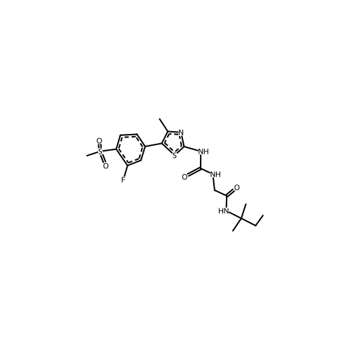 CCC(C)(C)NC(=O)CNC(=O)Nc1nc(C)c(-c2ccc(S(C)(=O)=O)c(F)c2)s1